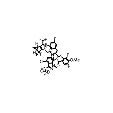 COc1c(F)cc2c(=O)n(-c3ccc(Cl)c4c(NS(C)(=O)=O)nn(C)c34)c(C(Cc3cc(F)cc(F)c3)NC(=O)Cn3nc(C(F)F)c4c3C(F)(F)[C@@H]3C[C@H]43)nc2c1F